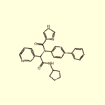 O=C(NC1CCCC1)C(c1cccnc1)N(C(=O)c1c[nH]cn1)c1ccc(-c2ccccc2)cc1